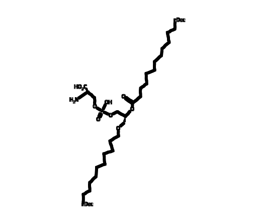 CCCCCCCCCCCCCCCCCCCCCC(=O)O[C@H](COCCCCCCCCCCCCCCCCCCCC)COP(=O)(O)OC[C@H](N)C(=O)O